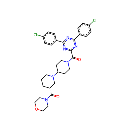 O=C(c1nc(-c2ccc(Cl)cc2)nc(-c2ccc(Cl)cc2)n1)N1CCC(N2CCC[C@@H](C(=O)N3CCOCC3)C2)CC1